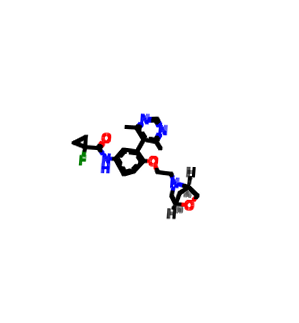 Cc1ncnc(C)c1-c1cc(NC(=O)C2(F)CC2)ccc1OCCN1C[C@@H]2C[C@H]1CO2